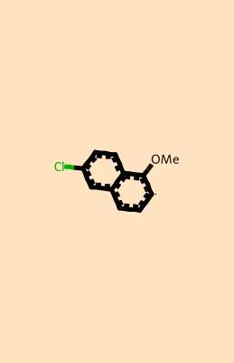 COc1[c]ccc2cc(Cl)ccc12